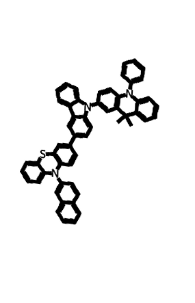 CC1(C)c2ccccc2N(c2ccccc2)c2ccc(-n3c4ccccc4c4cc(-c5ccc6c(c5)Sc5ccccc5N6c5ccc6ccccc6c5)ccc43)cc21